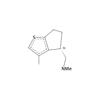 CNC[C@H]1CCc2scc(C)c21